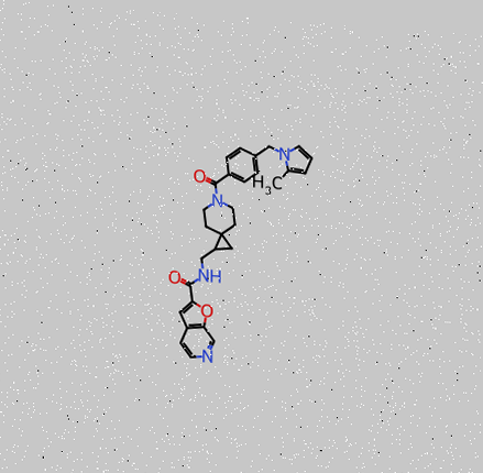 Cc1cccn1Cc1ccc(C(=O)N2CCC3(CC2)CC3CNC(=O)c2cc3ccncc3o2)cc1